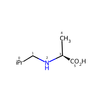 CC(C)CN[C@@H](C)C(=O)O